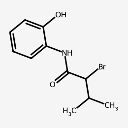 CC(C)C(Br)C(=O)Nc1ccccc1O